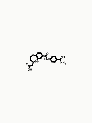 N=C(N)c1ccc(NC(=O)c2ccc3c(c2)NC(CC(=O)O)CCC3)cc1